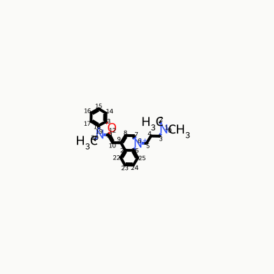 CN(C)CCC[n+]1ccc(/C=C2\Oc3ccccc3N2C)c2ccccc21